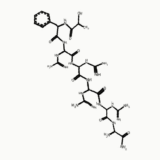 CC(O)C(=O)NC(C(=O)NC(NC(=N)N)C(=O)NC(NC(=N)N)C(=O)NC(NC(=N)N)C(=O)NC(NC(=N)N)C(=O)NC(N)C(N)=O)c1ccccc1